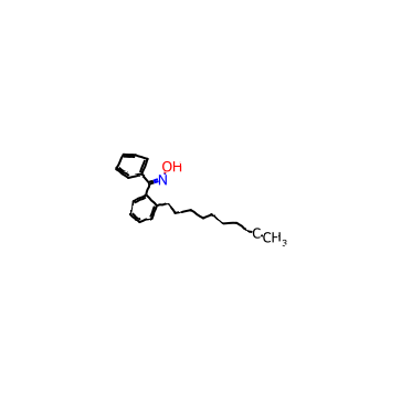 CCCCCCCCCCc1ccccc1C(=NO)c1ccccc1